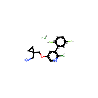 Cl.NCC1(COc2cnc(Cl)c(-c3cc(F)ccc3F)c2)CC1